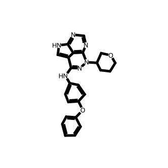 c1ccc(Oc2ccc(NC3=NN(C4CCCOC4)c4ncnc5[nH]cc3c45)cc2)cc1